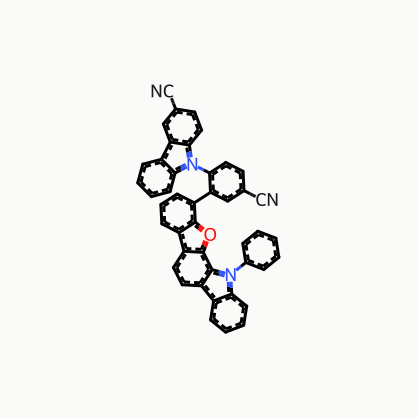 N#Cc1ccc(-n2c3ccccc3c3cc(C#N)ccc32)c(-c2cccc3c2oc2c3ccc3c4ccccc4n(-c4ccccc4)c32)c1